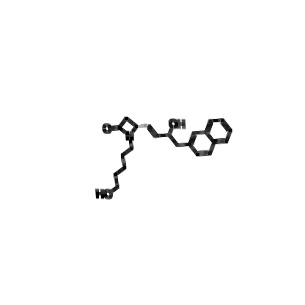 O=C1C[C@H](/C=C/C(O)Cc2ccc3ccccc3c2)N1CCCCCO